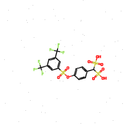 O=S(=O)(Oc1ccc(C(S(=O)(=O)O)S(=O)(=O)O)cc1)c1cc(C(F)(F)F)cc(C(F)(F)F)c1